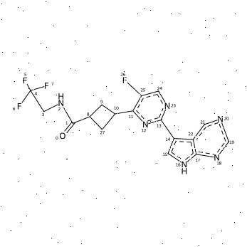 O=C(NCC(F)(F)F)C1CC(c2nc(-c3c[nH]c4ncncc34)ncc2F)C1